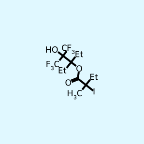 CCC(C)(I)C(=O)OC(CC)(CC)C(O)(C(F)(F)F)C(F)(F)F